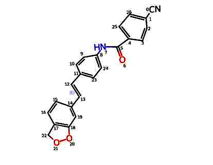 N#Cc1ccc(C(=O)Nc2ccc(/C=C/c3ccc4c(c3)OOC4)cc2)cc1